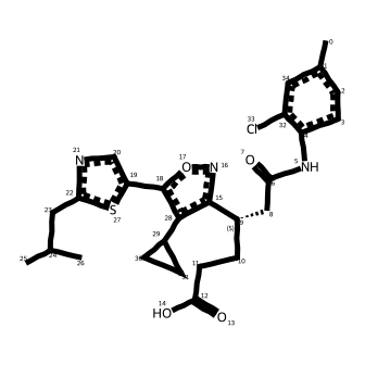 Cc1ccc(NC(=O)C[C@H](CCC(=O)O)c2noc(-c3cnc(CC(C)C)s3)c2C2CC2)c(Cl)c1